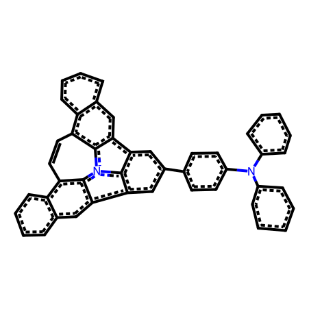 C1=Cc2c3ccccc3cc3c4cc(-c5ccc(N(c6ccccc6)c6ccccc6)cc5)cc5c6cc7ccccc7c1c6n(c23)c54